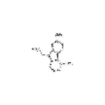 COc1ccc2c3c(N)ncnc3n(CC(=O)O)c2c1